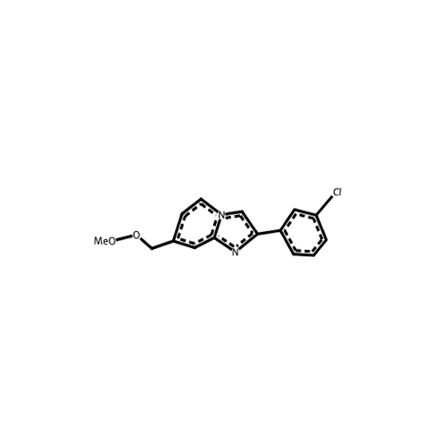 COOCc1ccn2cc(-c3cccc(Cl)c3)nc2c1